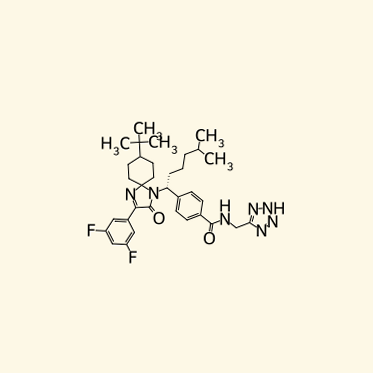 CC(C)CCC[C@H](c1ccc(C(=O)NCc2nn[nH]n2)cc1)N1C(=O)C(c2cc(F)cc(F)c2)=NC12CCC(C(C)(C)C)CC2